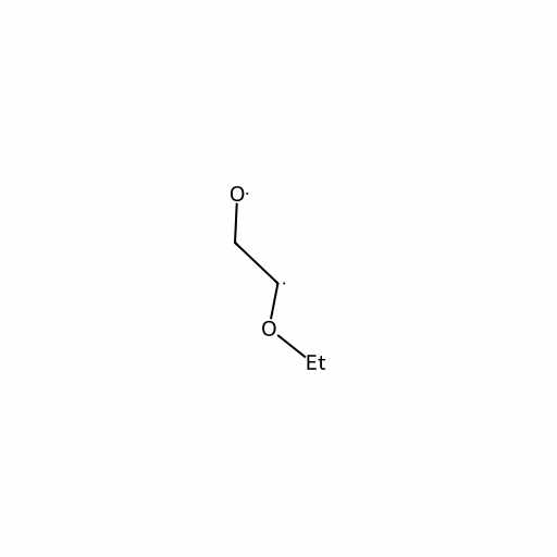 CCO[CH]C[O]